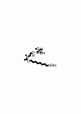 CCCCCCCCCCCCCCCCCCOC(C)N(C)CCO.COS(=O)(=O)O